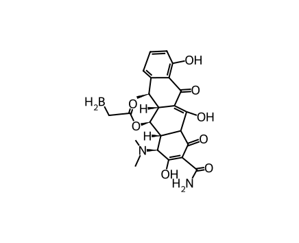 BCC(=O)O[C@H]1[C@H]2C(=C(O)C3C(=O)C(C(N)=O)=C(O)[C@@H](N(C)C)[C@@H]31)C(=O)c1c(O)cccc1[C@@H]2C